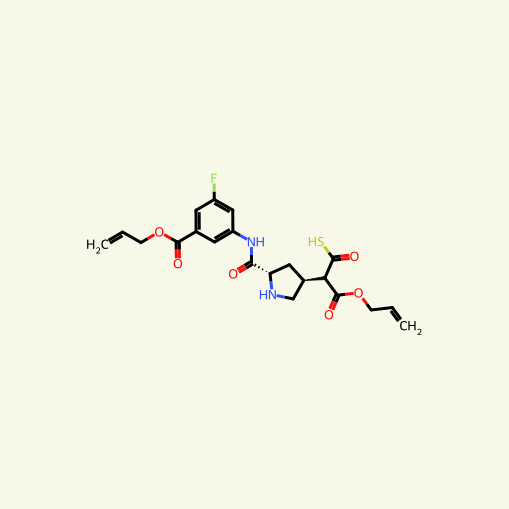 C=CCOC(=O)c1cc(F)cc(NC(=O)[C@@H]2C[C@@H](C(C(=O)S)C(=O)OCC=C)CN2)c1